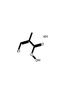 CCC=C(C)C(=O)OO.[KH]